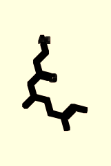 CC=C(C)CCC(C)CC(=O)CCC(C)=O